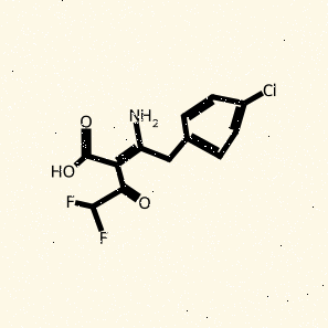 N/C(Cc1ccc(Cl)cc1)=C(\C(=O)O)C(=O)C(F)F